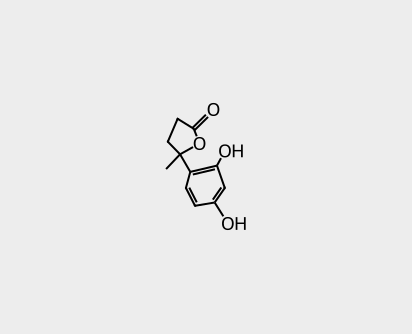 CC1(c2ccc(O)cc2O)CCC(=O)O1